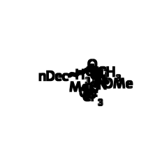 CCCCCCCCCCCCCCCCOC(=O)C[N+](C)(C)c1nc(OC)nc(OC)n1.O=S(=O)([O-])C(F)(F)F